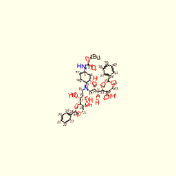 CC(C)(C)OC(=O)NC1CCC(N(C[C@H](O)[C@@H](O)[C@@H]2OC(c3ccccc3)OC[C@H]2O)C[C@H](O)[C@@H](O)[C@@H]2OC(c3ccccc3)OC[C@H]2O)CC1